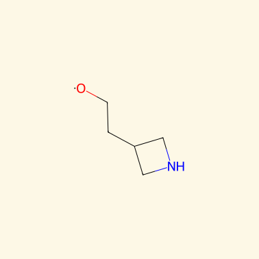 [O]CCC1CNC1